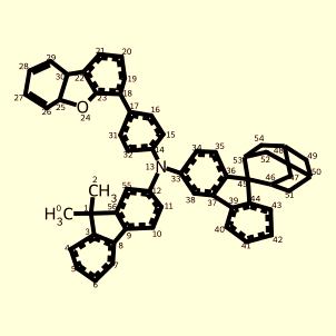 CC1(C)c2ccccc2-c2ccc(N(c3ccc(-c4cccc5c4OC4C=CC=CC54)cc3)c3ccc4c(c3)-c3ccccc3C43C4CC5CC(C4)CC3C5)cc21